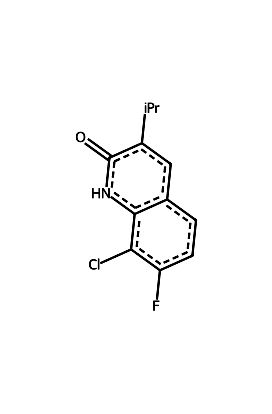 CC(C)c1cc2ccc(F)c(Cl)c2[nH]c1=O